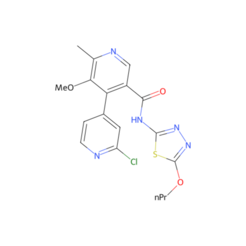 CCCOc1nnc(NC(=O)c2cnc(C)c(OC)c2-c2ccnc(Cl)c2)s1